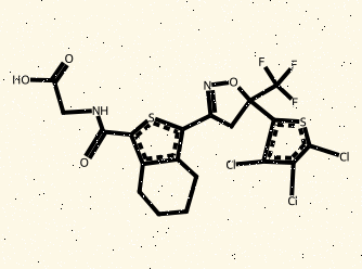 O=C(O)CNC(=O)c1sc(C2=NOC(c3sc(Cl)c(Cl)c3Cl)(C(F)(F)F)C2)c2c1CCCC2